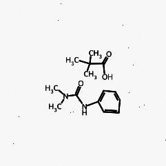 CC(C)(C)C(=O)O.CN(C)C(=O)Nc1ccccc1